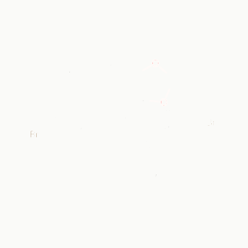 Brc1ccc2cccc(-c3c4c(cc5ccc(Br)cc35)OCO4)c2c1